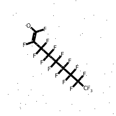 [O]C(F)=C(F)C(F)(F)C(F)(F)C(F)(F)C(F)(F)C(F)(F)C(F)(F)C(F)(F)F